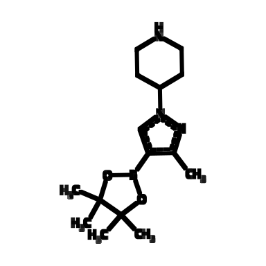 Cc1nn(C2CCNCC2)cc1B1OC(C)(C)C(C)(C)O1